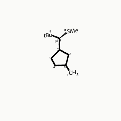 CS[C@@H](C1CCC(C)C1)C(C)(C)C